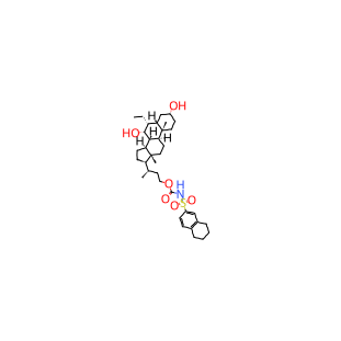 CC[C@H]1[C@@H](O)[C@@H]2[C@H](CC[C@]3(C)[C@@H]([C@H](C)CCOC(=O)NS(=O)(=O)c4ccc5c(c4)CCCC5)CC[C@@H]23)[C@@]2(C)CC[C@@H](O)C[C@@H]12